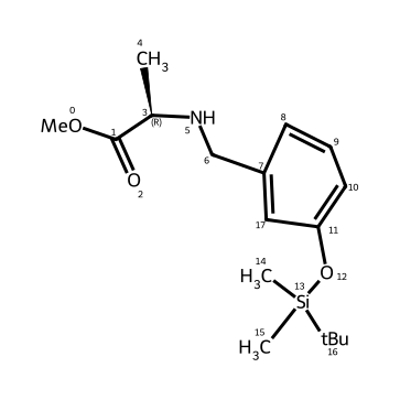 COC(=O)[C@@H](C)NCc1cccc(O[Si](C)(C)C(C)(C)C)c1